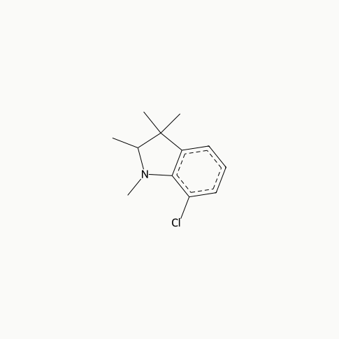 CC1N(C)c2c(Cl)cccc2C1(C)C